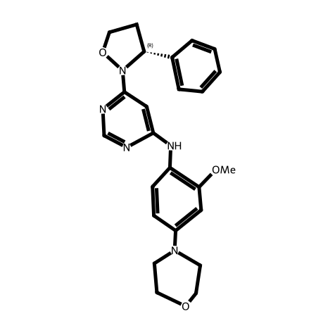 COc1cc(N2CCOCC2)ccc1Nc1cc(N2OCC[C@@H]2c2ccccc2)ncn1